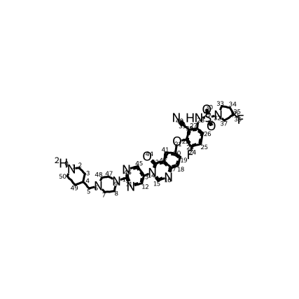 [2H]N1CCC(CN2CCN(c3ncc(-n4cnc5ccc(Oc6c(F)ccc(NS(=O)(=O)N7CC[C@@H](F)C7)c6C#N)cc5c4=O)cn3)CC2)CC1